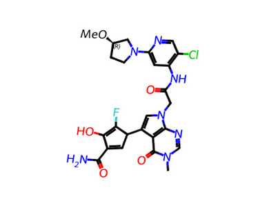 CO[C@@H]1CCN(c2cc(NC(=O)Cn3cc(C4C=C(C(N)=O)C(O)=C4F)c4c(=O)n(C)cnc43)c(Cl)cn2)C1